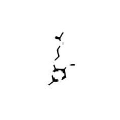 COc1cnc(Cl)nc1NCCNC(C)=O